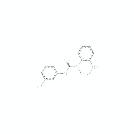 O=C(Nc1cccc(Cl)c1)N1CCNc2ccccc21